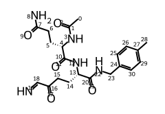 CC(=O)N[C@@H](CCC(N)=O)C(=O)N[C@@H](CCC(=O)C=N)C(=O)NCc1ccc(C)cc1